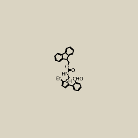 CCC1=CC=C(c2ccccc2C=O)[SH]1CNC(=O)OCC1c2ccccc2-c2ccccc21